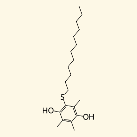 CCCCCCCCCCCCSc1c(C)c(O)c(C)c(C)c1O